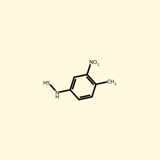 Cc1ccc(NS)cc1[N+](=O)[O-]